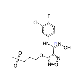 CS(=O)(=O)CCCOc1nonc1/C(=N\O)Nc1ccc(F)c(Cl)c1